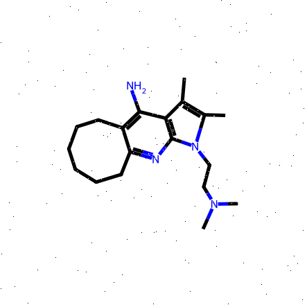 Cc1c(C)n(CCN(C)C)c2nc3c(c(N)c12)CCCCCC3